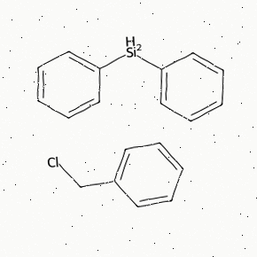 ClCc1ccccc1.c1ccc([SiH2]c2ccccc2)cc1